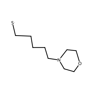 [S]CCCCCN1CCOCC1